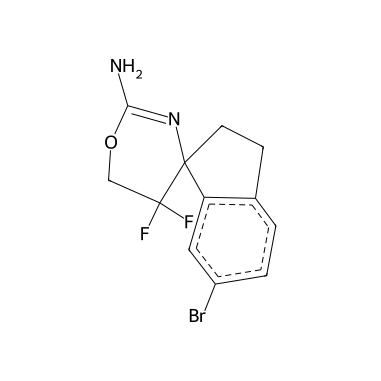 NC1=NC2(CCc3ccc(Br)cc32)C(F)(F)CO1